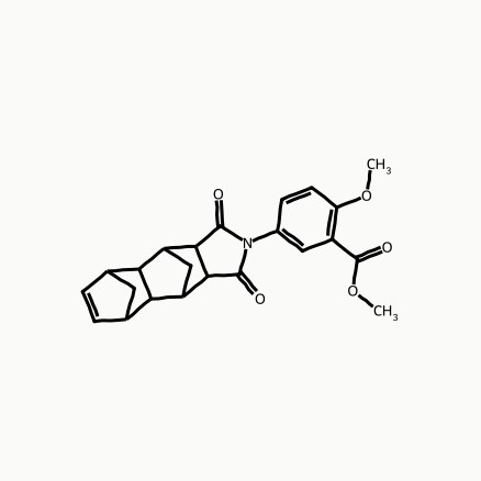 COC(=O)c1cc(N2C(=O)C3C4CC(C3C2=O)C2C3C=CC(C3)C42)ccc1OC